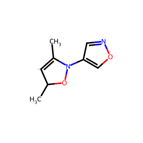 CC1=[C]C(C)ON1c1cnoc1